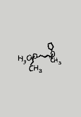 CCC[C@@H](C)OCCCC[C@H](C)OC1CCCC1